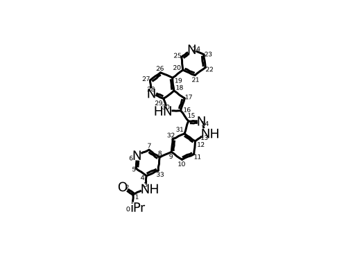 CC(C)C(=O)Nc1cncc(-c2ccc3[nH]nc(-c4cc5c(-c6cccnc6)ccnc5[nH]4)c3c2)c1